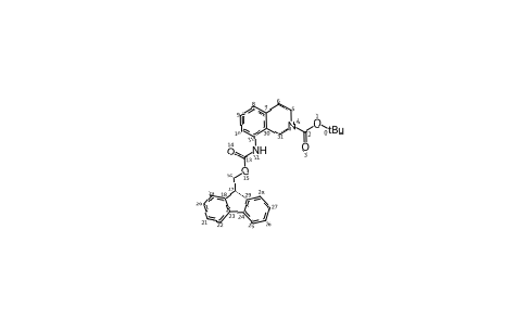 CC(C)(C)OC(=O)N1CCc2cccc(NC(=O)OCC3c4ccccc4-c4ccccc43)c2C1